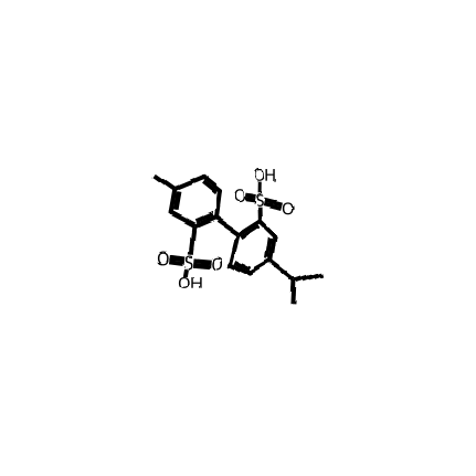 Cc1ccc(-c2ccc(C(C)C)cc2S(=O)(=O)O)c(S(=O)(=O)O)c1